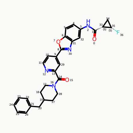 O=C(Nc1ccc2oc(-c3ccnc(C(=O)N4CCC(Cc5ccccc5)CC4)c3)nc2c1)[C@@H]1C[C@@H]1F